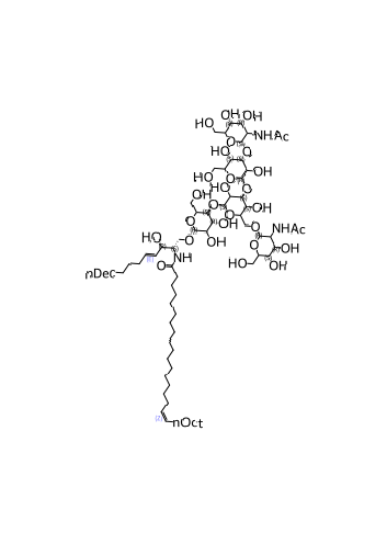 CCCCCCCC/C=C\CCCCCCCCCCCCCCCC(=O)N[C@@H](CO[C@@H]1OC(CO)[C@@H](O[C@@H]2OC(CO[C@@H]3OC(CO)[C@@H](O)[C@H](O)C3NC(C)=O)[C@H](O)[C@H](O[C@H]3OC(CO)[C@H](O)[C@H](O[C@@H]4OC(CO)[C@H](O)[C@H](O)C4NC(C)=O)C3O)C2O)[C@H](O)C1O)[C@H](O)/C=C/CCCCCCCCCCCCC